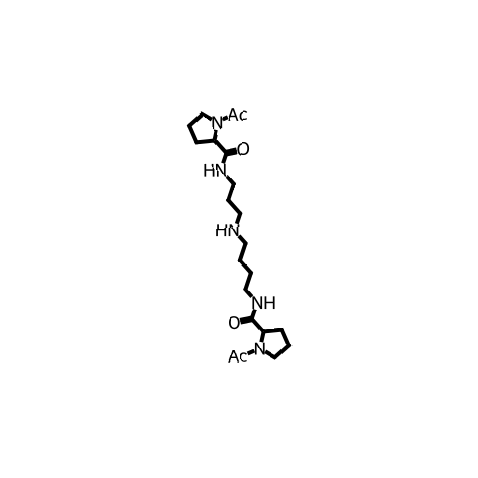 CC(=O)N1CCCC1C(=O)NCCCCNCCCNC(=O)C1CCCN1C(C)=O